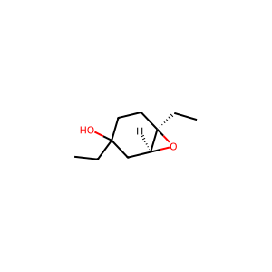 CCC1(O)CC[C@@]2(CC)O[C@H]2C1